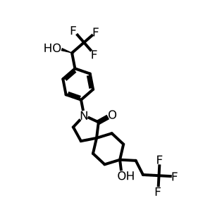 O=C1N(c2ccc([C@@H](O)C(F)(F)F)cc2)CCC12CCC(O)(CCC(F)(F)F)CC2